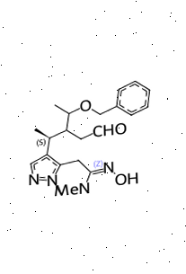 CN/C(Cc1c([C@@H](C)C(CC=O)C(C)OCc2ccccc2)cnn1C)=N\O